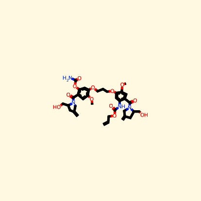 C=CCOC(=O)Nc1cc(OCCCOc2cc(OC(N)=O)c(C(=O)N3CC(=C)CC3CO)cc2OC)c(OC)cc1C(=O)N1CC(=C)CC1CO